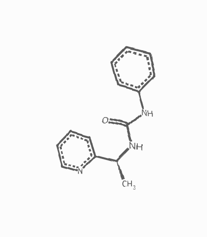 C[C@H](NC(=O)Nc1ccccc1)c1ccccn1